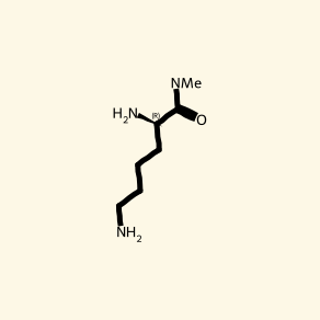 CNC(=O)[C@H](N)CCCCN